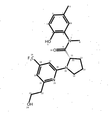 Cc1ccc(O)c(N(C)C(=O)[C@@H]2CCCN2c2cc(C(F)(F)F)cc(CCO)n2)c1